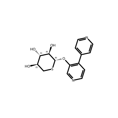 O[C@@H]1[C@@H](O)[C@H](Oc2cnccc2-c2ccncc2)SC[C@H]1O